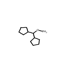 POC(C1CCCC1)C1CCCC1